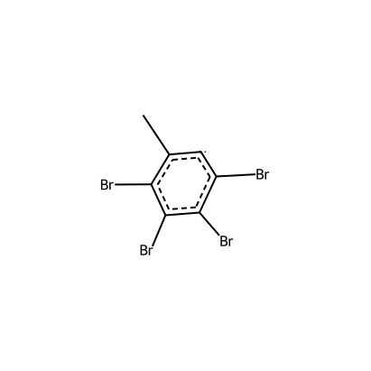 Cc1[c]c(Br)c(Br)c(Br)c1Br